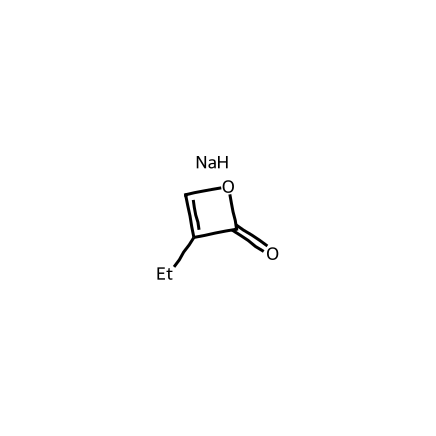 CCC1=COC1=O.[NaH]